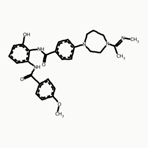 C/N=C(\C)N1CCCN(c2ccc(C(=O)Nc3c(O)cccc3NC(=O)c3ccc(OC)cc3)cc2)CC1